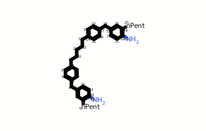 CCCCCc1cc(Cc2ccc(CCCCCc3ccc(Cc4ccc(N)c(CCCCC)c4)cc3)cc2)ccc1N